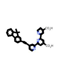 CC1(C)c2ccccc2-c2ccc(C#Cc3ccnc(-c4cc(C(=O)O)cc(-c5cc(C(=O)O)ccn5)n4)c3)cc21